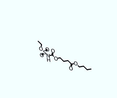 CCCCOC(=O)CCCOC(=O)NS(=O)(=O)OCC